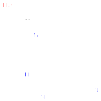 CC1(C)CC(=C(C#N)C#N)C(C#N)=C(N2CCC(O)C2)C1